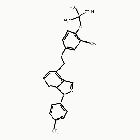 Cc1cc(SCc2cccc3c2cnn3-c2ccc(C(F)(F)F)cc2)ccc1OC(C)(C)C(=O)O